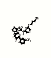 O=C(Nc1cncc(OCCCO)n1)N1c2nc(-c3cccc(C(F)(F)F)c3)c(Cl)cc2N2CC[C@H]1C2